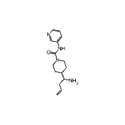 C=CCC(N)C1CCN(C(=O)Nc2cccnc2)CC1